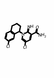 N=c1c(C(N)=O)cc(Cl)cn1C1CCCc2ccc(Cl)cc21